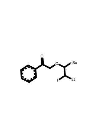 CCCCC(OCC(=O)c1ccccc1)C(F)CC